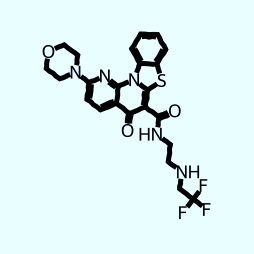 O=C(NCCNCC(F)(F)F)c1c(=O)c2ccc(N3CCOCC3)nc2n2c1sc1ccccc12